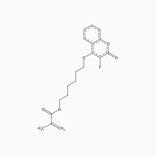 C=C(C)C(=O)OCCCCCCOc1c(F)c(=O)oc2ccccc12